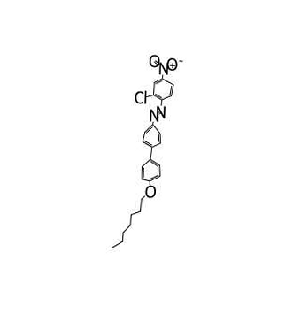 CCCCCCCOc1ccc(-c2ccc(N=Nc3ccc([N+](=O)[O-])cc3Cl)cc2)cc1